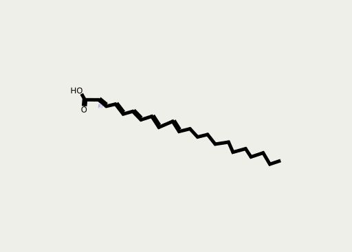 CCCCCCCCCCCC=CC=CC=CC=C/C=C/C(=O)O